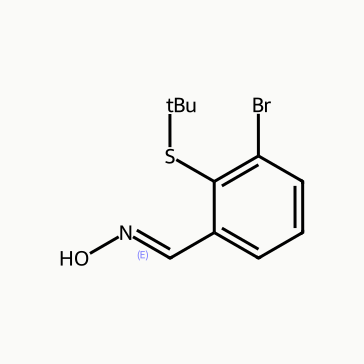 CC(C)(C)Sc1c(Br)cccc1/C=N/O